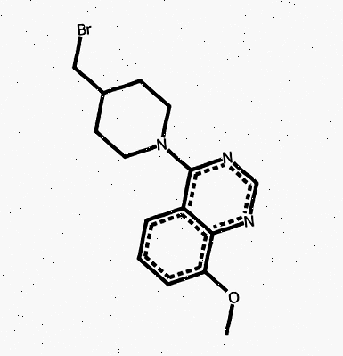 COc1cccc2c(N3CCC(CBr)CC3)ncnc12